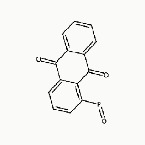 O=Pc1cccc2c1C(=O)c1ccccc1C2=O